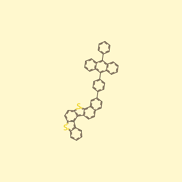 c1ccc(-c2c3ccccc3c(-c3ccc(-c4ccc5ccc6c(sc7ccc8sc9ccccc9c8c76)c5c4)cc3)c3ccccc23)cc1